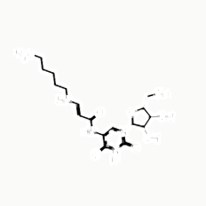 CCCCCCNC=CC(=O)Nc1cn([C@@H]2O[C@H](CO)[C@@H](O)[C@H]2O)c(=O)[nH]c1=O